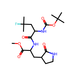 COC(=O)C(CC1CCNC1=O)NC(=O)C(CC(C)(C)F)NC(=O)OC(C)(C)C